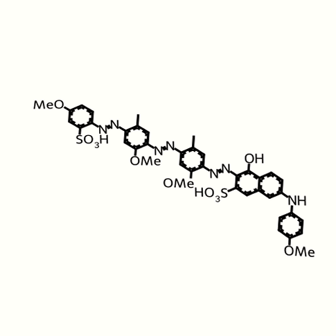 COc1ccc(Nc2ccc3c(O)c(N=Nc4cc(C)c(N=Nc5cc(C)c(N=Nc6ccc(OC)cc6S(=O)(=O)O)cc5OC)cc4OC)c(S(=O)(=O)O)cc3c2)cc1